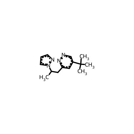 CC(Cc1cc(C(C)(C)C)cnn1)n1cccn1